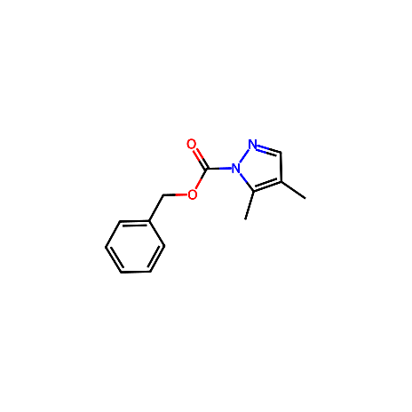 Cc1cnn(C(=O)OCc2ccccc2)c1C